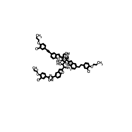 CCCOc1ccc(C#Cc2ccc3oc(C(N)(CO)C(O)C(O)(C(O)C(N)c4cc5cc(-c6noc(-c7ccc(OCCC)c(Cl)c7)n6)ccc5o4)C(N)(CO)c4cc5cc(CCc6ccc(OCCC)c(Cl)c6)ccc5o4)cc3c2)cc1Cl